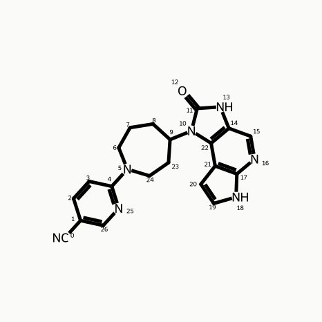 N#Cc1ccc(N2CCCC(n3c(=O)[nH]c4cnc5[nH]ccc5c43)CC2)nc1